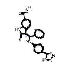 COC(=O)c1ccc2c(c1)NC(=O)/C2=C(\Nc1ccc(-c2nnn[nH]2)cc1)c1ccccc1